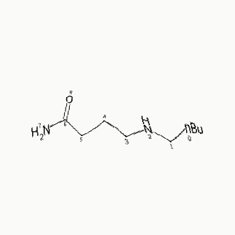 CCCCCNCCCC(N)=O